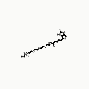 O=C(CCCCC1SCC2NC(=O)NC21)NCCOCCOCCOCCOP(=O)(O)O